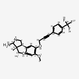 COc1ccc([C@@H]2C[N]C(N)[C@@]2(C)[C@@H](C)O)cc1OCC#Cc1ccc(C(F)(F)F)cc1